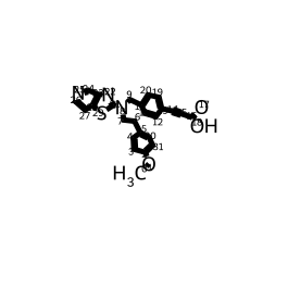 COc1ccc(CCN(Cc2ccc(C#CC(=O)O)cc2)c2nc3cnccc3s2)cc1